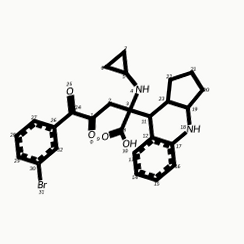 O=C(CC(NC1CC1)(C(=O)O)C1c2ccccc2NC2CCCC21)C(=O)c1cccc(Br)c1